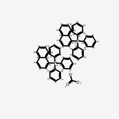 O=C([O-])[O-].c1ccc([P+](c2ccccc2)(c2ccccc2)c2cccc3ccccc23)cc1.c1ccc([P+](c2ccccc2)(c2ccccc2)c2cccc3ccccc23)cc1